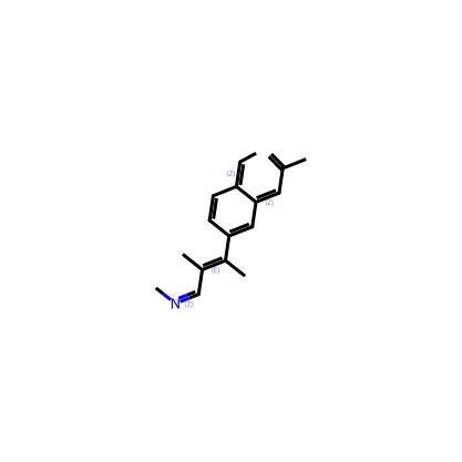 C=C(C)/C=c1/cc(/C(C)=C(C)/C=N\C)cc/c1=C/C